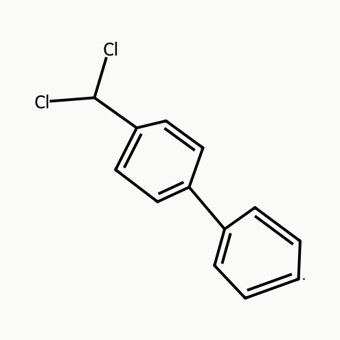 ClC(Cl)c1ccc(-c2cc[c]cc2)cc1